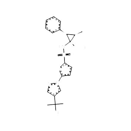 C[C@@H]1[C@H](c2ccccc2)[C@]1(NS(=O)(=O)c1ccc(-n2cc(C(C)(C)O)cn2)s1)C(=O)O